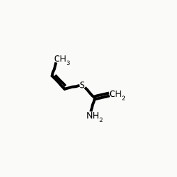 C=C(N)S/C=C\C